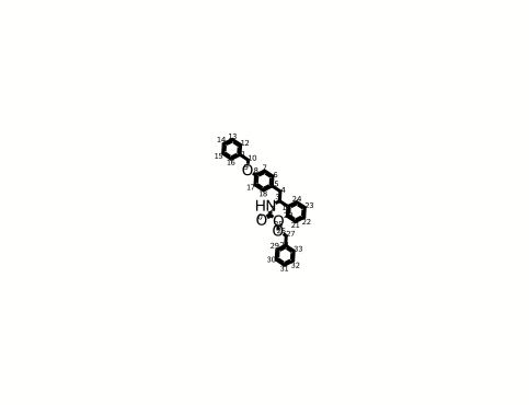 O=C(NC(Cc1ccc(OCc2ccccc2)cc1)c1ccccc1)OOCc1ccccc1